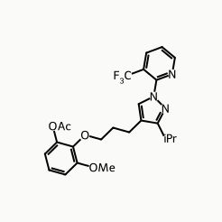 COc1cccc(OC(C)=O)c1OCCCc1cn(-c2ncccc2C(F)(F)F)nc1C(C)C